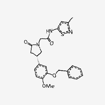 COc1ccc([C@@H]2CC(=O)N(CC(=O)Nc3cc(C)ns3)C2)cc1OCc1ccccc1